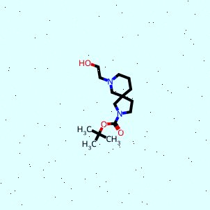 CC(C)(C)OC(=O)N1CCC2(CCCN(CCO)C2)C1